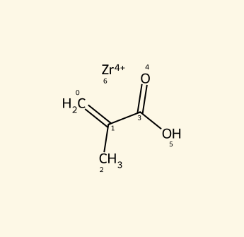 C=C(C)C(=O)O.[Zr+4]